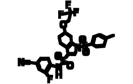 Cc1ccc(S(=O)(=O)n2cc(S(=O)(=O)Nc3ccc(C#N)cc3F)c3c2CC(OCC(F)(F)F)CC3)cc1